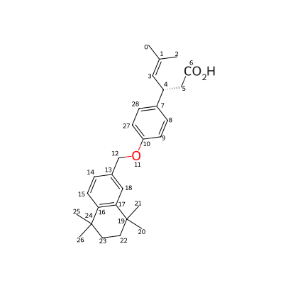 CC(C)=C[C@H](CC(=O)O)c1ccc(OCc2ccc3c(c2)C(C)(C)CCC3(C)C)cc1